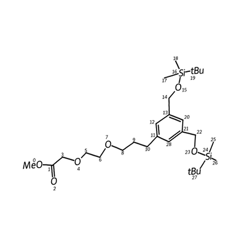 COC(=O)COCCOCCCc1cc(CO[Si](C)(C)C(C)(C)C)cc(CO[Si](C)(C)C(C)(C)C)c1